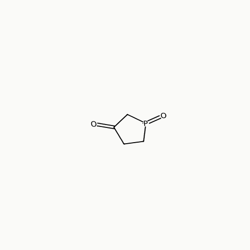 O=C1CC[P](=O)C1